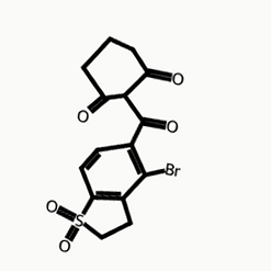 O=C1CCCC(=O)C1C(=O)c1ccc2c(c1Br)CCS2(=O)=O